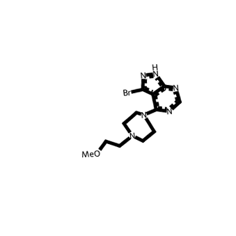 COCCN1CCN(c2ncnc3[nH]nc(Br)c23)CC1